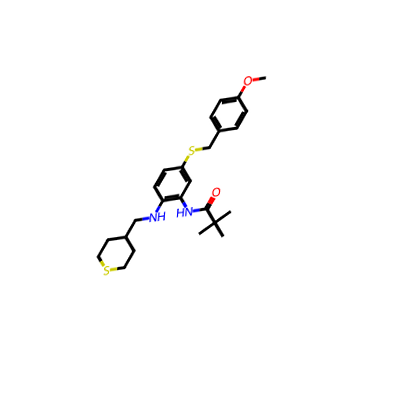 COc1ccc(CSc2ccc(NCC3CCSCC3)c(NC(=O)C(C)(C)C)c2)cc1